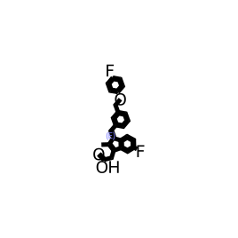 CC1=C(CC(=O)O)c2cc(F)ccc2/C1=C\c1cccc(COc2ccc(F)cc2)c1